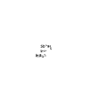 [As-3].[In+3].[In+3].[SbH6-3]